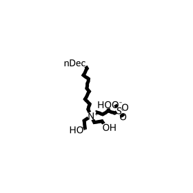 CCCCCCCCCCCCCCCCCC[N+](CCO)(CCO)CCC(O)CS(=O)(=O)[O-]